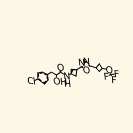 O=C(NC12CC(c3nnc(C4CC(OC(F)(F)F)C4)o3)(C1)C2)C(O)Cc1ccc(Cl)cc1